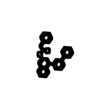 O=C(Cc1ccccc1)OC1=Cc2ccccc2C(c2cccc(-c3ccccc3)c2)C1